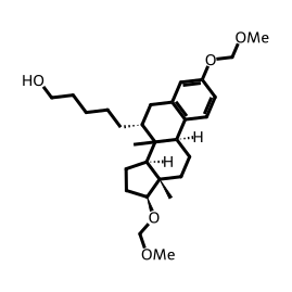 COCOc1ccc2c(c1)C[C@@H](CCCCCO)C1(C)[C@@H]2CC[C@]2(C)[C@@H](OCOC)CC[C@@H]12